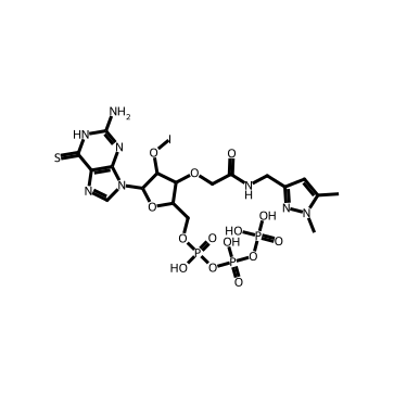 Cc1cc(CNC(=O)COC2C(COP(=O)(O)OP(=O)(O)OP(=O)(O)O)OC(n3cnc4c(=S)[nH]c(N)nc43)C2OI)nn1C